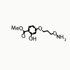 COC(=O)c1ccc(OCCCON)cc1O